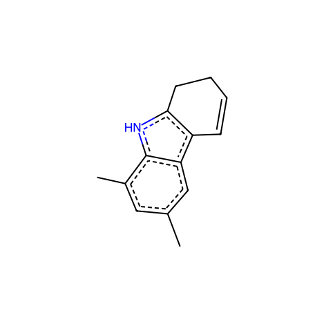 Cc1cc(C)c2[nH]c3c(c2c1)C=CCC3